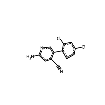 N#Cc1cc(N)ncc1-c1ccc(Cl)cc1Cl